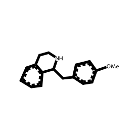 COc1ccc(CC2NCCc3ccccc32)cc1